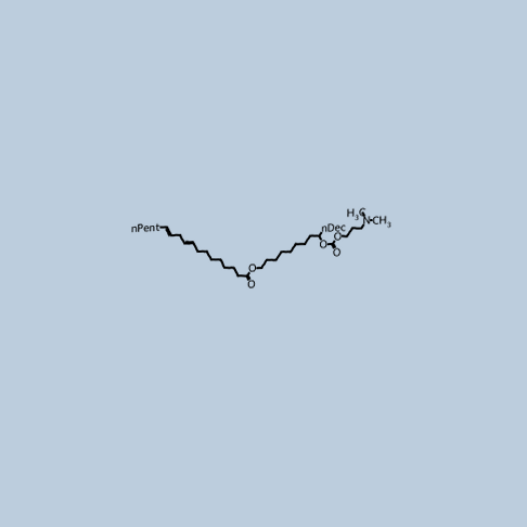 CCCCCC=CCC=CCCCCCCCC(=O)OCCCCCCCCC(CCCCCCCCCC)OC(=O)OCCCN(C)C